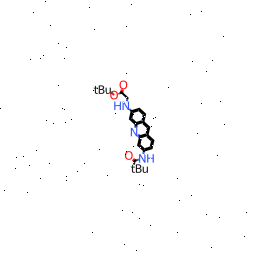 CC(C)(C)OC(=O)CNc1ccc2cc3ccc(NC(=O)C(C)(C)C)cc3nc2c1